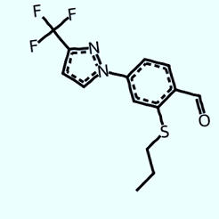 CCCSc1cc(-n2ccc(C(F)(F)F)n2)ccc1C=O